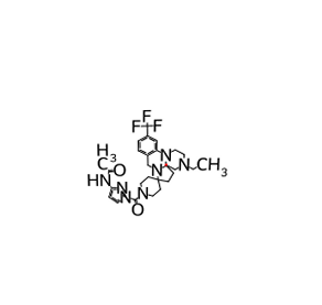 CCN1CCN(c2cc(C(F)(F)F)ccc2CN2CCCC23CCN(C(=O)n2ccc(NC(C)=O)n2)CC3)CC1